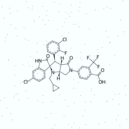 O=C(O)c1ccc(N2C[C@H]3[C@@H](C2=O)[C@H](c2cccc(Cl)c2F)[C@]2(C(=O)Nc4cc(Cl)ccc42)N3CC2CC2)cc1C(F)(F)F